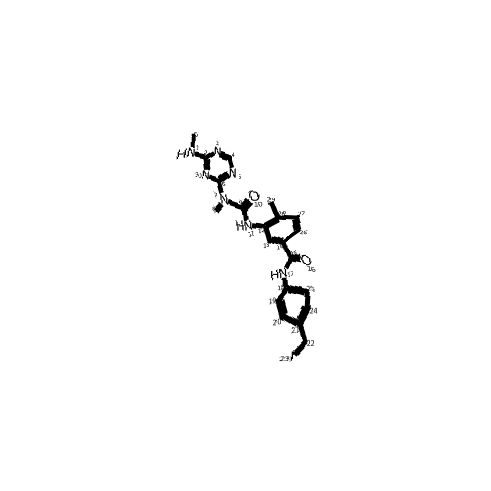 CNc1ncnc(N(C)C(=O)Nc2cc(C(=O)Nc3ccc(CI)cc3)ccc2C)n1